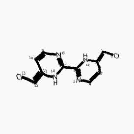 ClC=C1C=CN=C(C2=NC=CC(=CCl)N2)N1